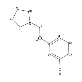 Fc1[c]c(OCC2CCCC2)ccc1